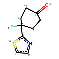 O=C1CCC(F)(c2nccs2)CC1